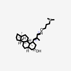 CC(/C=N/OCCCN(C)C)=C\C1C[C@H](O)C[C@H]2CC[C@H]3[C@@H]4CCC[C@@]4(C)CC[C@@H]3[C@@]12C